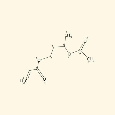 C=CC(=O)OCCC(C)OC(C)=O